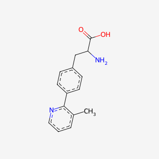 Cc1cccnc1-c1ccc(CC(N)C(=O)O)cc1